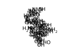 CN[C@@H](CC(=O)N(CCS)CCCC(=O)N[C@H](C(=O)NC(CCCNC(=N)N)C(=O)N[C@H](C(=O)NC(CCCCN)C(=O)N[C@@H](C)C(=O)NC(Cc1ccc(O)cc1)C(=O)N[C@@H](Cc1c[nH]c2ccccc12)C(=O)N[C@H](C=O)CO)[C@@H](C)O)[C@@H](C)O)C(=O)N1CCC[C@H]1C(=O)NCC(=O)NCC=O